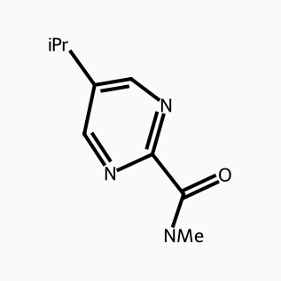 CNC(=O)c1ncc(C(C)C)cn1